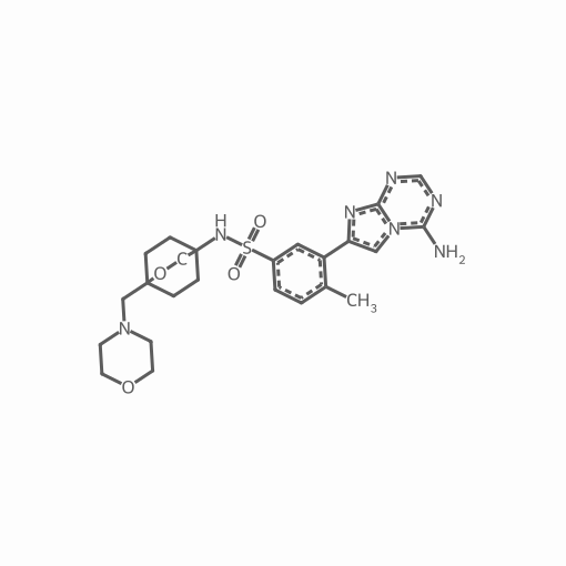 Cc1ccc(S(=O)(=O)NC23CCC(CN4CCOCC4)(CC2)OC3)cc1-c1cn2c(N)ncnc2n1